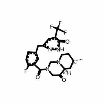 C[C@H]1CCN2CN(C(=O)c3cc(Cc4cc(C(F)(F)F)c(=O)[nH]n4)ccc3F)CC(=O)[C@@H]2C1